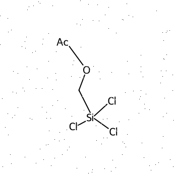 CC(=O)OC[Si](Cl)(Cl)Cl